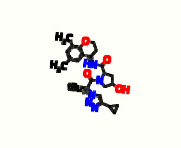 Cc1cc(C)c2c(c1)[C@@H](NC(=O)C1CC(O)CN1C(=O)[C@@H](n1cc(C3CC3)nn1)C(C)(C)C)CCO2